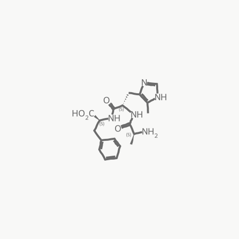 Cc1[nH]cnc1C[C@H](NC(=O)[C@H](C)N)C(=O)N[C@@H](Cc1ccccc1)C(=O)O